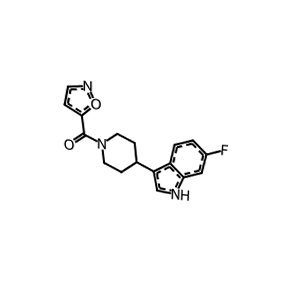 O=C(c1ccno1)N1CCC(c2c[nH]c3cc(F)ccc23)CC1